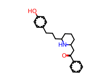 O=C(CC1CCCC(CCCc2ccc(O)cc2)N1)c1ccccc1